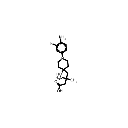 CC(C)(CC(=O)O)CC1(O)CCN(c2ccc(N)c(F)c2)CC1